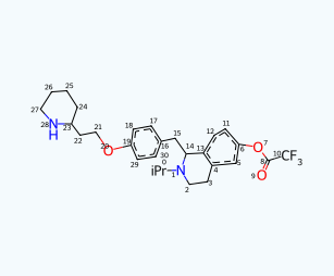 CC(C)N1CCc2cc(OC(=O)C(F)(F)F)ccc2C1Cc1ccc(OCCC2CCCCN2)cc1